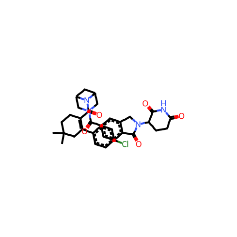 CC1(C)CCC(C(=O)N2C3CC2CN(C(=O)c2ccc4c(c2)CN(C2CCC(=O)NC2=O)C4=O)C3)=C(c2ccc(Cl)cc2)C1